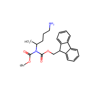 CC(C)(C)OC(=O)N(C(=O)OCC1c2ccccc2-c2ccccc21)C(CCCN)C(=O)O